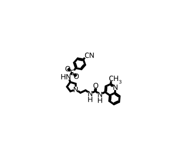 Cc1cc(NC(=O)NCCN2CCC(NS(=O)(=O)c3ccc(C#N)cc3)C2)c2ccccc2n1